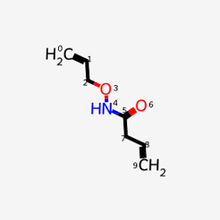 C=CCONC(=O)CC=C